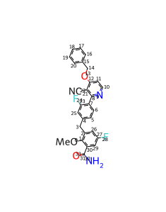 COc1c(Cc2ccc(-c3nccc(OCc4ccccc4)c3C#N)c(F)c2)cc(F)cc1C(N)=O